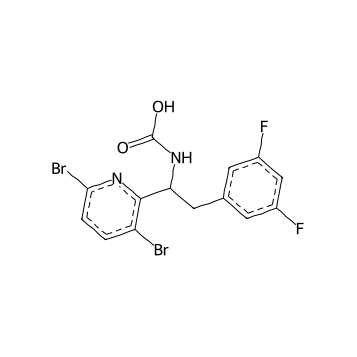 O=C(O)NC(Cc1cc(F)cc(F)c1)c1nc(Br)ccc1Br